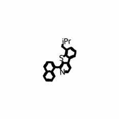 CC(C)Cc1cccc2c1sc1c(-c3cccc4ccccc34)nccc12